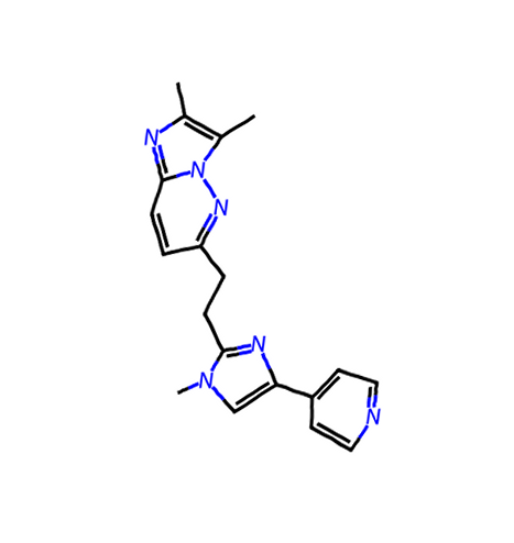 Cc1nc2ccc(CCc3nc(-c4ccncc4)cn3C)nn2c1C